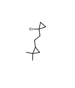 CCC1(CCC2CC2(C)C)CC1